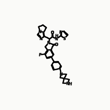 O=C(Nc1nccs1)C(c1ncn2c1CCC2)N1Cc2c(F)cc(-c3ccc(N4CC5(CNC5)C4)cc3)cc2C1=O